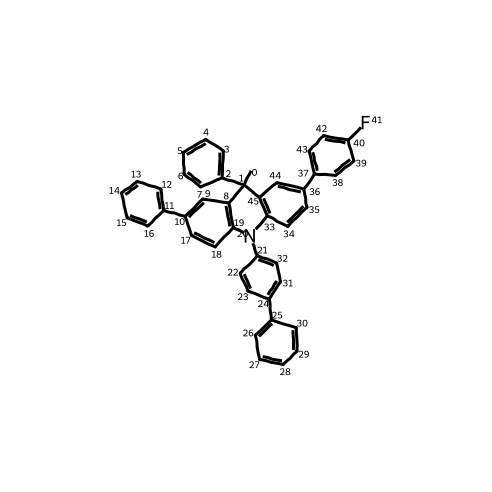 CC1(c2ccccc2)c2cc(-c3ccccc3)ccc2N(c2ccc(-c3ccccc3)cc2)c2ccc(-c3ccc(F)cc3)cc21